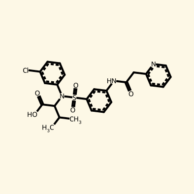 CC(C)C(C(=O)O)N(c1cccc(Cl)c1)S(=O)(=O)c1cccc(NC(=O)Cc2ccccn2)c1